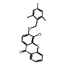 Cc1cc(C)c(CSc2ccc3c(=O)c4ccccc4sc3c2Cl)c(C)c1